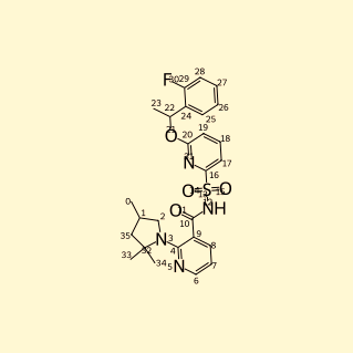 CC1CN(c2ncccc2C(=O)NS(=O)(=O)c2cccc(OC(C)c3ccccc3F)n2)C(C)(C)C1